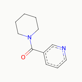 O=C(c1cccnc1)N1CCCCC1